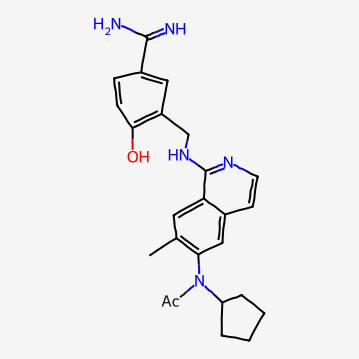 CC(=O)N(c1cc2ccnc(NCc3cc(C(=N)N)ccc3O)c2cc1C)C1CCCC1